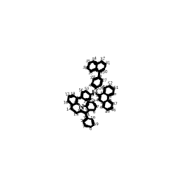 c1ccc(-c2c3ccccc3n3c2ccc2cccc(-c4ccc(N(c5ccc(-c6cccc7ccccc67)cc5)c5cc6ccccc6c6ccccc56)cc4)c23)cc1